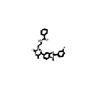 CC1SC(=O)N(CCNC(=O)c2ccccc2)N=C1c1ccc2c(c1)nc(-c1cccc(F)c1)n2C